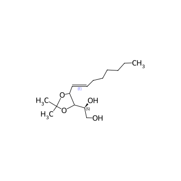 CCCCCC/C=C/C1OC(C)(C)OC1[C@@H](O)CO